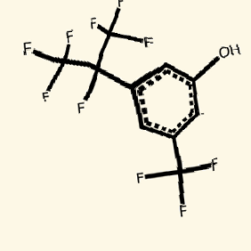 Oc1[c]c(C(F)(F)F)cc(C(F)(C(F)(F)F)C(F)(F)F)c1